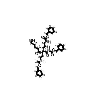 NCCC[C@H](N)C(=O)N(CCNC(=O)OCc1ccccc1)[C@@H](CCCNC(=O)OCc1ccccc1)C(=O)NC(=O)OCc1ccccc1